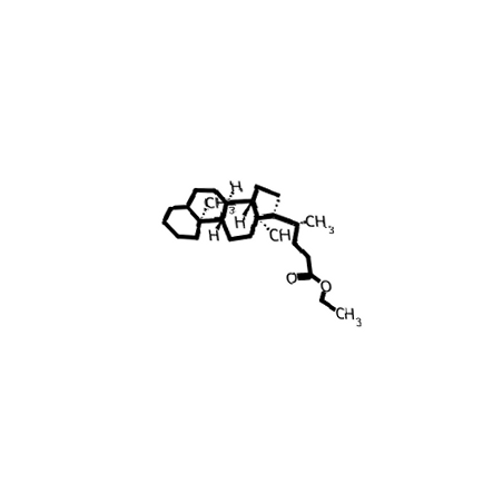 CCOC(=O)CC[C@@H](C)[C@H]1CC[C@H]2[C@@H]3CCC4CCCC[C@]4(C)[C@H]3CC[C@]12C